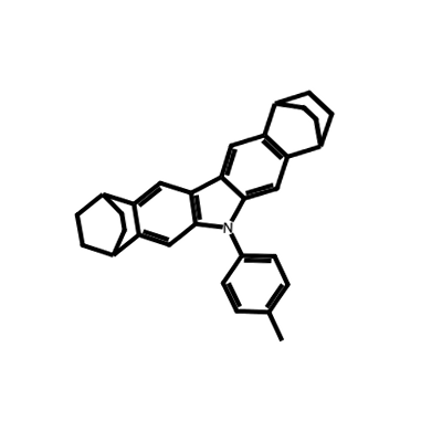 Cc1ccc(-n2c3cc4c(cc3c3cc5c(cc32)C2CCC5CC2)C2CCC4CC2)cc1